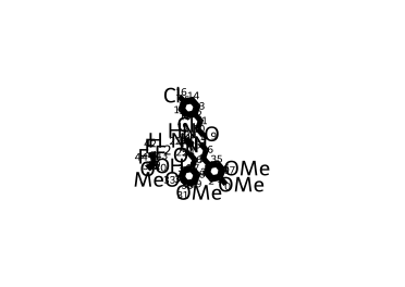 COc1ccc(CCNC(=O)C(Cc2ccc(Cl)cc2Cl)NC(N)=NC(=O)Cc2ccc(OC)c(OC)c2)cc1OC.O=C(O)C(F)(F)F